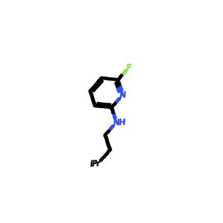 CC(C)CCNc1cccc(F)n1